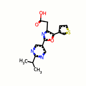 CC(C)c1ncc(-c2nc(CC(=O)O)c(-c3ccsc3)o2)cn1